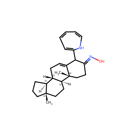 C[C@@]12[CH]CC[C@H]1[C@@H]1CC=C3C(C4=CC=CC=CN4)C(=NO)CC[C@]3(C)[C@H]1CC2